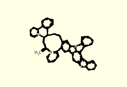 C=C1CC2C(CCc3cc4c(cc3-c3cccc[n+]31)c1cc3sc5ccccc5c3c3c5ccccc5n4c13)c1ccccc1-c1cccc[n+]12